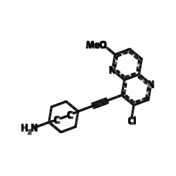 COc1ccc2ncc(Cl)c(C#CC34CCC(N)(CC3)CC4)c2n1